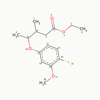 CCOC(=O)CC(C)C(C)Oc1ccc(F)c(OC)c1